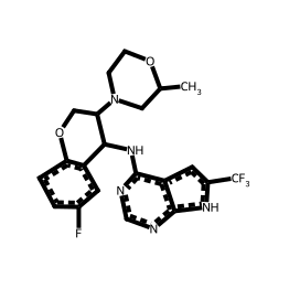 CC1CN(C2COc3ccc(F)cc3C2Nc2ncnc3[nH]c(C(F)(F)F)cc23)CCO1